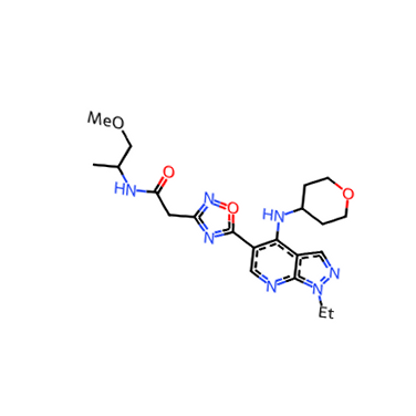 CCn1ncc2c(NC3CCOCC3)c(-c3nc(CC(=O)NC(C)COC)no3)cnc21